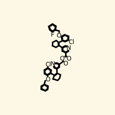 O=C(OC(=O)c1cncc(C2=C(c3cc(Cl)ccc3OCc3ccccc3F)CCCC2)c1)c1cncc(C2=C(c3cc(Cl)ccc3OCc3ccccc3)CCCC2)c1